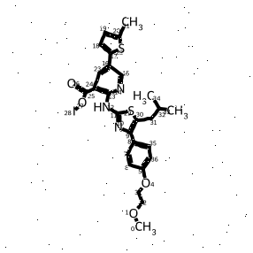 COCCOc1ccc(-c2nc(Nc3ncc(-c4ccc(C)s4)cc3C(=O)OI)sc2CC(C)C)cc1